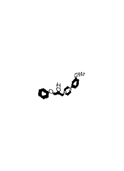 COc1cccc(N2CCN(CC(O)COc3ccccc3)CC2)c1